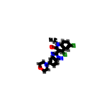 Cn1c(=O)c(-c2nc3cc(N4CCOCC4)ccc3[nH]2)c(Cl)c2cc(Cl)ccc21